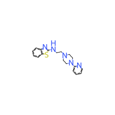 c1ccc(N2CCN(CCNc3nc4ccccc4s3)CC2)nc1